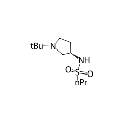 CCCS(=O)(=O)N[C@@H]1CCN(C(C)(C)C)C1